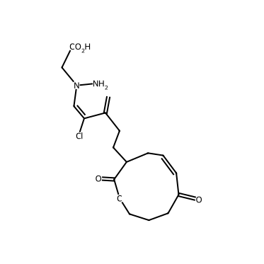 C=C(CCC1C/C=C\C(=O)CCCCC1=O)/C(Cl)=C\N(N)CC(=O)O